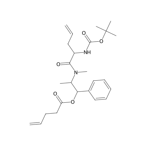 C=CCCC(=O)OC(c1ccccc1)C(C)N(C)C(=O)C(CC=C)NC(=O)OC(C)(C)C